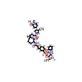 CCCOC(=O)[C@H](C)NP(=O)(Oc1ccccc1)C(F)c1ccc2sc(C(=O)N[C@H]3CCCC[C@H]4CC[C@@H](C(=O)N5C[C@H](c6ccn(C)c(=O)c6)[C@@H](C#N)C5)N4C3=O)cc2c1